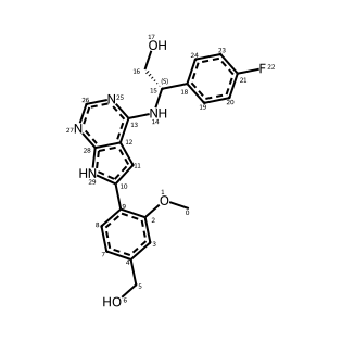 COc1cc(CO)ccc1-c1cc2c(N[C@H](CO)c3ccc(F)cc3)ncnc2[nH]1